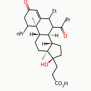 CCCC1CC(=O)C=C2C(CC)C(C(=O)C(C)C)[C@H]3[C@@H]4CC[C@](O)(CCC(=O)O)[C@@]4(C)CC[C@@H]3[C@]21C